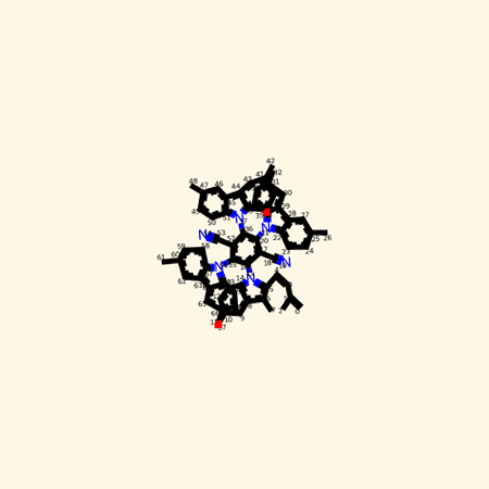 C=C(C)/C=C\c1c(C)c2cc(C)ccc2n1-c1c(C#N)c(-n2c3ccc(C)cc3c3cc(C)ccc32)c(-n2c3ccc(C)cc3c3cc(C)ccc32)c(C#N)c1-n1c2ccc(C)cc2c2cc(C)ccc21